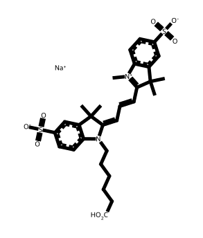 C[N+]1=C(/C=C/C=C2/N(CCCCCC(=O)O)c3ccc(S(=O)(=O)[O-])cc3C2(C)C)C(C)(C)c2cc(S(=O)(=O)[O-])ccc21.[Na+]